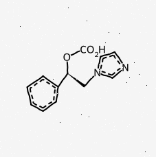 O=C(O)O[C@@H](Cn1ccnc1)c1ccccc1